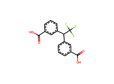 O=C(O)c1cccc(C(c2cccc(C(=O)O)c2)C(F)(F)F)c1